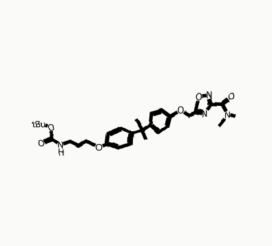 CN(C)C(=O)c1noc(COc2ccc(C(C)(C)c3ccc(OCCCNC(=O)OC(C)(C)C)cc3)cc2)n1